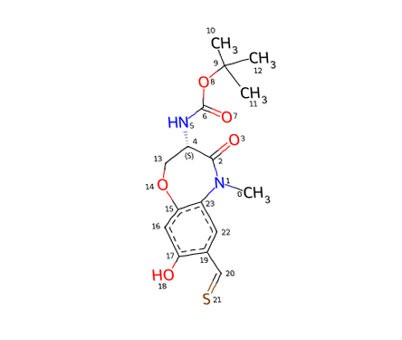 CN1C(=O)[C@@H](NC(=O)OC(C)(C)C)COc2cc(O)c(C=S)cc21